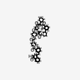 CC1(C(=O)N2CCCC(c3cccc(C(=O)N[C@@H](C(=O)N4CC[C@H](OC5CCN(CC(=O)N6CCN(C(=O)c7cc(Cc8n[nH]c(=O)c9ccccc89)ccc7F)CC6)CC5)C4)C4CCCCC4)c3F)C2)CC1